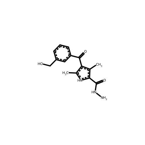 Cc1[nH]c(C(=O)NN)c(C)c1C(=O)c1cccc(CO)c1